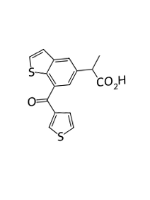 CC(C(=O)O)c1cc(C(=O)c2ccsc2)c2sccc2c1